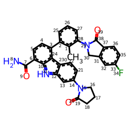 Cc1c(-c2ccc(C(N)=O)c3[nH]c4cc(N5CCCC5=O)ccc4c23)cccc1N1Cc2cc(F)ccc2C1=O